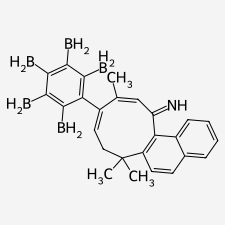 Bc1c(B)c(B)c(C2=C/CC(C)(C)c3ccc4ccccc4c3C(=N)/C=C\2C)c(B)c1B